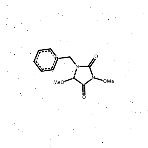 COC1C(=O)N(OC)C(=O)N1Cc1ccccc1